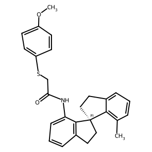 COc1ccc(SCC(=O)Nc2cccc3c2[C@]2(CCc4cccc(C)c42)CC3)cc1